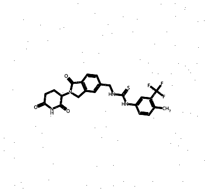 Cc1ccc(NC(=S)NCc2ccc3c(c2)CN(C2CCC(=O)NC2=O)C3=O)cc1C(F)(F)F